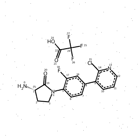 N[C@H]1CCN(c2ccc(-c3cccnc3Cl)cc2F)C1=O.O=C(O)C(F)(F)F